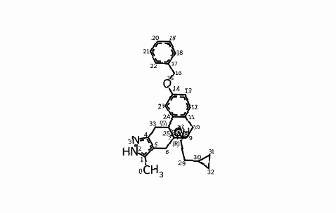 Cc1[nH]nc2c1C[C@]1(O)C3Cc4ccc(OCc5ccccc5)cc4[C@]1(CCN3CC1CC1)C2